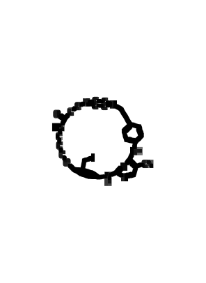 N#Cc1cnc2nc1Nc1ccc(cc1)CN1CCN(CCC(=O)NCCCOc3ccc(cc3CI)N2)CC1